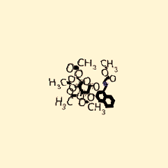 CCOC(=O)/C=C/c1c(O[C@@H]2O[C@H](COC(C)=O)[C@H](OC(C)=O)[C@H](OC(C)=O)[C@H]2OC(C)=O)ccc2ccccc12